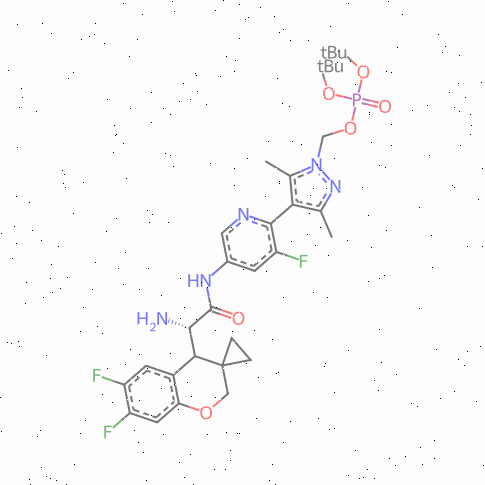 Cc1nn(COP(=O)(OC(C)(C)C)OC(C)(C)C)c(C)c1-c1ncc(NC(=O)[C@@H](N)C2c3cc(F)c(F)cc3OCC23CC3)cc1F